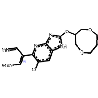 CN/C=C(\C=N)c1nc2nc(OC3COCCCOC3)[nH]c2cc1Cl